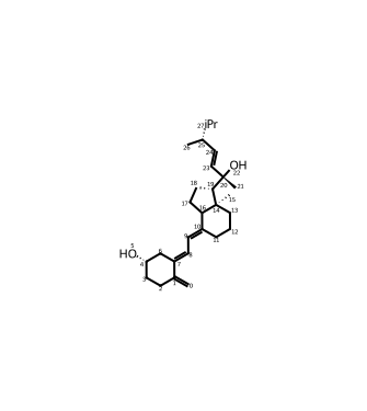 C=C1CC[C@H](O)CC1=CC=C1CCC[C@@]2(C)C1CC[C@@H]2[C@@](C)(O)/C=C/[C@H](C)C(C)C